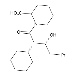 CC(C)C[C@@H](O)[C@@H](C(=O)N1CCCCC1C(=O)O)C1CCCCC1